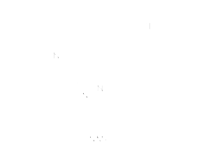 CNCCn1nc(-c2ccc(Cl)cc2)c2cnccc21